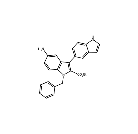 CCOC(=O)c1c(-c2ccc3[nH]ccc3c2)c2cc(N)ccc2n1Cc1ccccc1